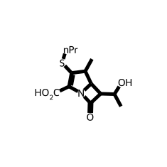 CCCSC1=C(C(=O)O)N2C(=O)C(C(C)O)C2C1C